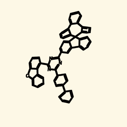 c1ccc(-c2ccc(-c3nc(-c4ccc5c(c4)-c4ccccc4C54c5ccccc5-c5ccccc5-c5ccccc54)nc(-c4cccc5oc6ccccc6c45)n3)cc2)cc1